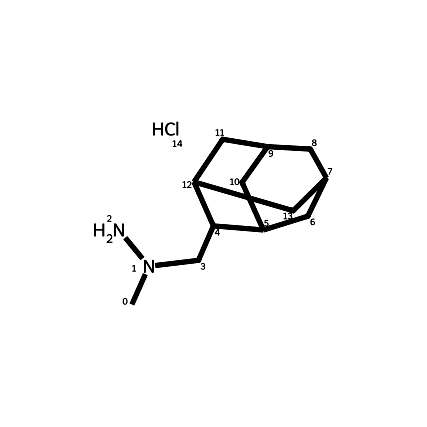 CN(N)CC1C2CC3CC(C2)CC1C3.Cl